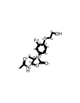 CC(=O)N[C@H]1OC(=O)N(c2ccc(SCCO)c(F)c2)C1C